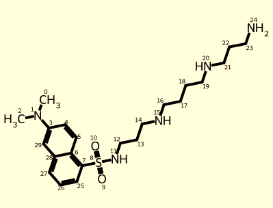 CN(C)c1ccc2c(S(=O)(=O)NCCCNCCCCNCCCN)cccc2c1